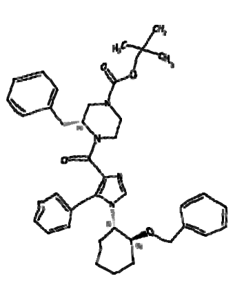 CC(C)(C)OC(=O)N1CCN(C(=O)c2ncn([C@H]3CCCC[C@@H]3OCc3ccccc3)c2-c2ccccc2)[C@H](Cc2ccccc2)C1